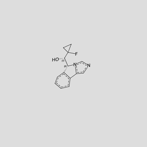 O[C@@H]([C@H]1c2ccccc2-c2cncn21)C1(F)CC1